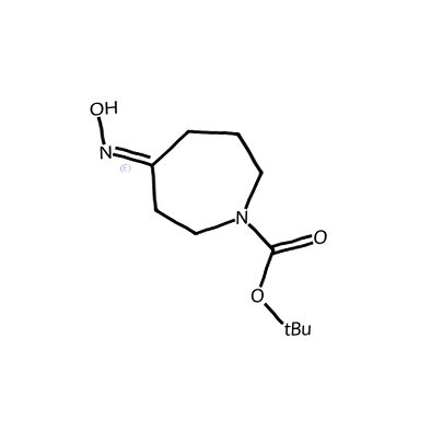 CC(C)(C)OC(=O)N1CCC/C(=N\O)CC1